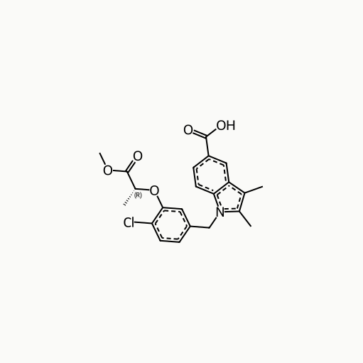 COC(=O)[C@@H](C)Oc1cc(Cn2c(C)c(C)c3cc(C(=O)O)ccc32)ccc1Cl